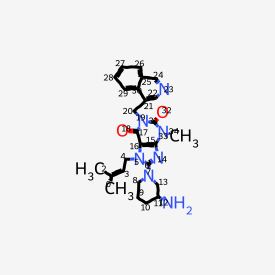 CC(C)=CCn1c(N2CCCC(N)C2)nc2c1c(=O)n(Cc1cncc3ccccc13)c(=O)n2C